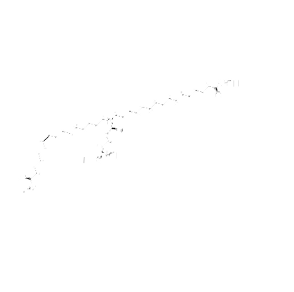 COC(=O)CCCCC/C=C\CCCCCCCCN(CCCCCCCCCCCCCCCC(=O)OC)C(=O)SCCN(C)C